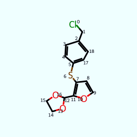 ClCc1ccc(Sc2ccoc2C2OCCO2)cc1